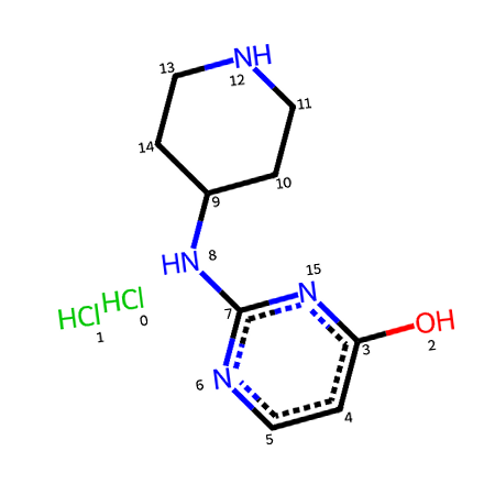 Cl.Cl.Oc1ccnc(NC2CCNCC2)n1